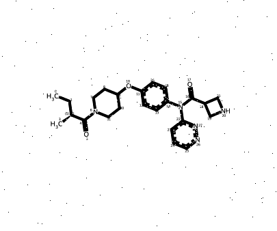 CC[C@H](C)C(=O)N1CCC(Oc2ccc(N(C(=O)C3CNC3)c3cccnn3)cc2)CC1